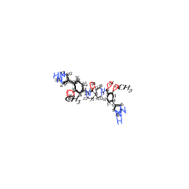 COc1cc(-c2cn[nH]c2)ccc1C(=O)N1CCC2(CC1)CCN(c1ccc(-c3cn[nH]c3)c(OC)c1)C2=O